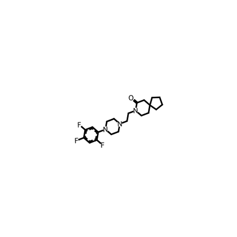 O=C1CC2(CCCC2)CCN1CCN1CCN(c2cc(F)c(F)cc2F)CC1